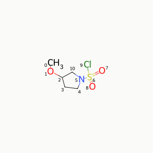 COC1CCN(S(=O)(=O)Cl)C1